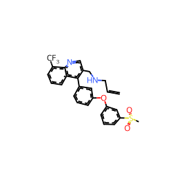 C=CCNCc1cnc2c(C(F)(F)F)cccc2c1-c1cccc(Oc2cccc(S(C)(=O)=O)c2)c1